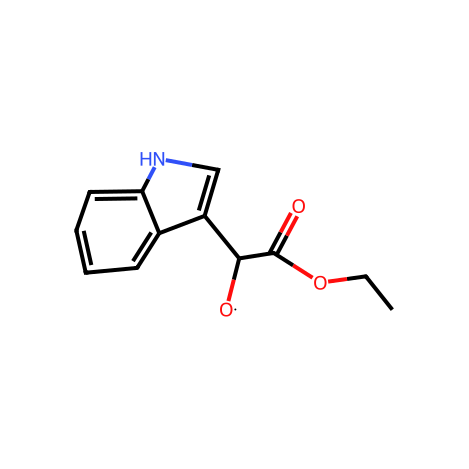 CCOC(=O)C([O])c1c[nH]c2ccccc12